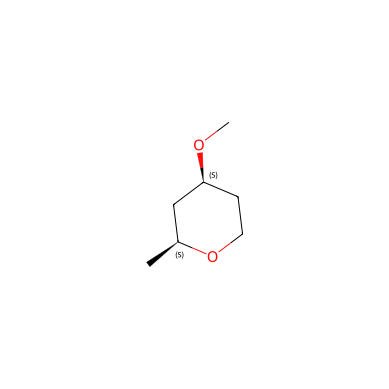 CO[C@H]1CCO[C@@H](C)C1